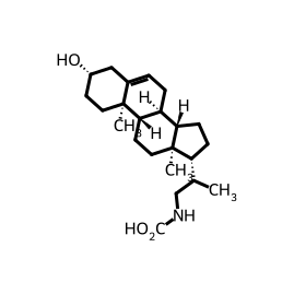 CC(CNC(=O)O)[C@H]1CC[C@H]2[C@@H]3CC=C4C[C@@H](O)CC[C@]4(C)[C@H]3CC[C@]12C